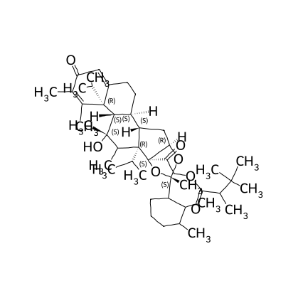 CC1=C(C)[C@@]2(C(C)C)C(=CC1=O)CC[C@H]1[C@@H]3C[C@H]4O[C@](C)(C5CCCC(C)C5C)O[C@@]4(C(=O)COC(=O)C(C)C(C)(C)C)[C@@]3(C(C)C)C(C)[C@](C)(O)[C@@H]12